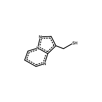 SCc1cnn2cccnc12